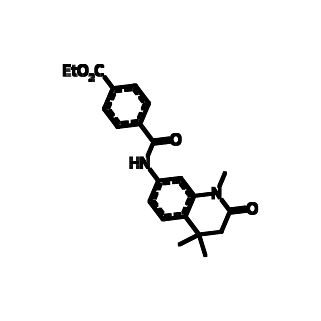 CCOC(=O)c1ccc(C(=O)Nc2ccc3c(c2)N(C)C(=O)CC3(C)C)cc1